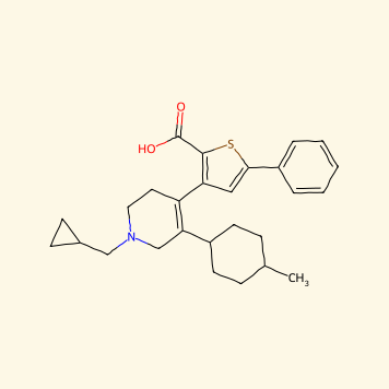 CC1CCC(C2=C(c3cc(-c4ccccc4)sc3C(=O)O)CCN(CC3CC3)C2)CC1